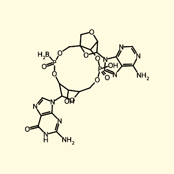 BP1(=O)OCC23COC(C(n4cnc5c(N)ncnc54)O2)C3OP(=O)(O)OCC2OC(n3cnc4c(=O)[nH]c(N)nc43)C(O1)C2O